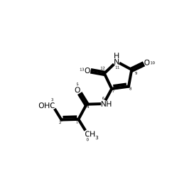 C/C(=C/C=O)C(=O)NC1=CC(=O)NC1=O